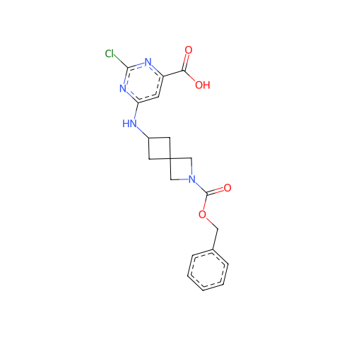 O=C(O)c1cc(NC2CC3(C2)CN(C(=O)OCc2ccccc2)C3)nc(Cl)n1